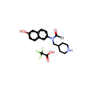 CCC(=O)N(CC1CCNCC1)c1ccc2cc(O)ccc2c1.O=C(O)C(F)(F)F